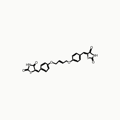 O=C1NC(=O)C(=Cc2ccc(OCC=CCOc3ccc(C=C4SC(=O)NC4=O)cc3)cc2)S1